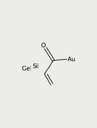 C=C[C](=O)[Au].[Ge].[Si]